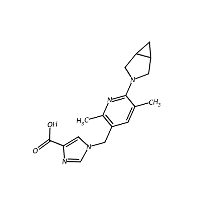 Cc1cc(Cn2cnc(C(=O)O)c2)c(C)nc1N1CC2CC2C1